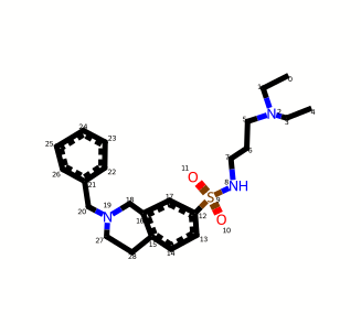 CCN(CC)CCCNS(=O)(=O)c1ccc2c(c1)CN(Cc1ccccc1)CC2